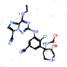 CCNc1nc(Nc2cc(C#N)cc([C@]3(NC(=O)O)CCNC[C@H]3O)c2Cl)nn2c(C#N)cnc12